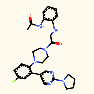 CC(=O)Nc1ccccc1NCC(=O)N1CCN(c2ccc(F)cc2-c2cnc(N3CCCC3)nc2)CC1